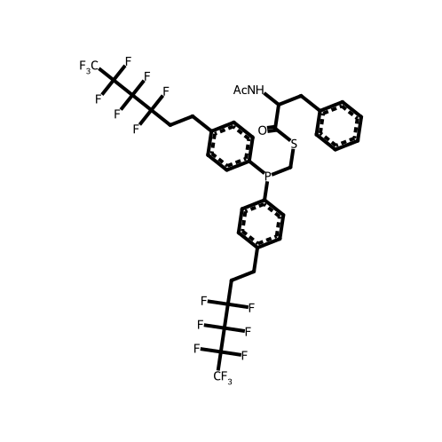 CC(=O)NC(Cc1ccccc1)C(=O)SCP(c1ccc(CCC(F)(F)C(F)(F)C(F)(F)C(F)(F)F)cc1)c1ccc(CCC(F)(F)C(F)(F)C(F)(F)C(F)(F)F)cc1